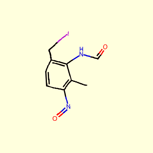 Cc1c(N=O)ccc(CI)c1NC=O